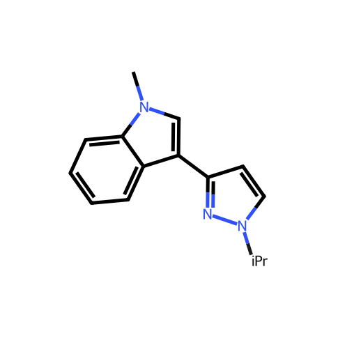 CC(C)n1ccc(-c2cn(C)c3ccccc23)n1